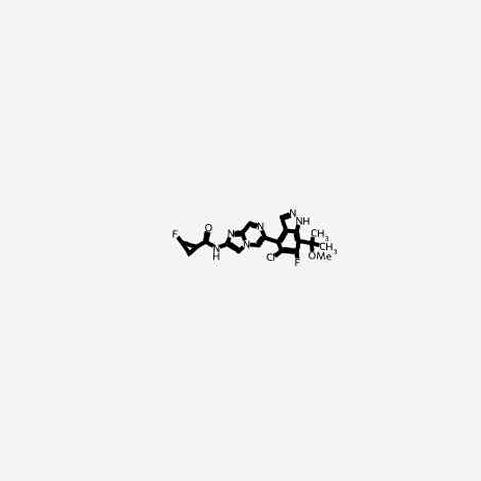 COC(C)(C)c1c(F)c(Cl)c(-c2cn3cc(NC(=O)C4CC4F)nc3cn2)c2cn[nH]c12